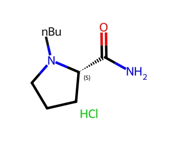 CCCCN1CCC[C@H]1C(N)=O.Cl